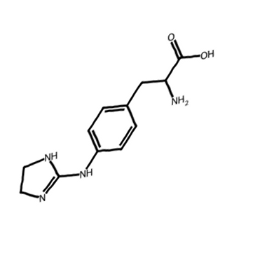 NC(Cc1ccc(NC2=NCCN2)cc1)C(=O)O